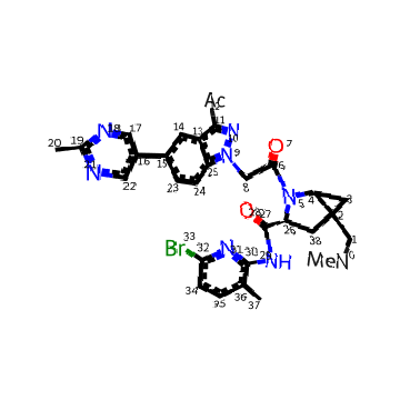 CNCC12CC1N(C(=O)Cn1nc(C(C)=O)c3cc(-c4cnc(C)nc4)ccc31)[C@H](C(=O)Nc1nc(Br)ccc1C)C2